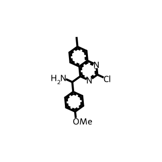 COc1ccc(C(N)c2nc(Cl)nc3cc(C)ccc23)cc1